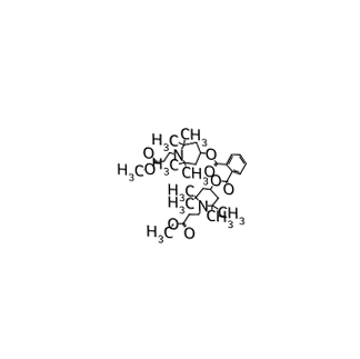 COC(=O)CCN1C(C)(C)CC(OC(=O)c2ccccc2C(=O)OC2CC(C)(C)N(CCC(=O)OC)C(C)(C)C2)CC1(C)C